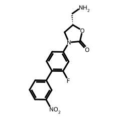 NC[C@H]1CN(c2ccc(-c3cccc([N+](=O)[O-])c3)c(F)c2)C(=O)O1